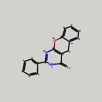 S=c1[nH]c(-c2ccccc2)nc2c1Cc1ccccc1O2